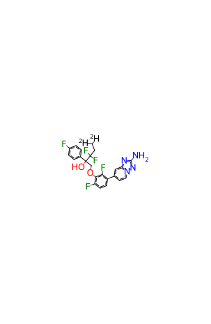 [2H]C([2H])CC(F)(F)C(O)(COc1c(F)ccc(-c2ccn3nc(N)nc3c2)c1F)c1ccc(F)cc1